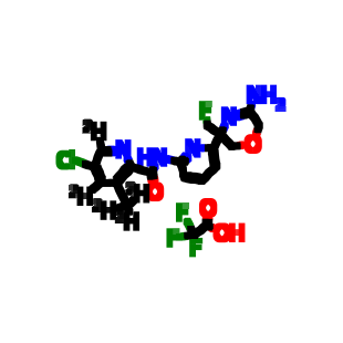 O=C(O)C(F)(F)F.[2H]c1nc(C(=O)Nc2cccc(C3(CF)COCC(N)=N3)n2)c(C([2H])([2H])[2H])c([2H])c1Cl